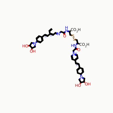 C=CC(/C=C/c1ccc(N2CC(O)C(O)C2)cc1)=C\C=N\CC(=O)NC(CSSCC(NC(=O)C[n+]1ccc(/C=C/C2=CCC(N3CC(O)C(O)C3)C=C2)cc1)C(=O)O)C(=O)O